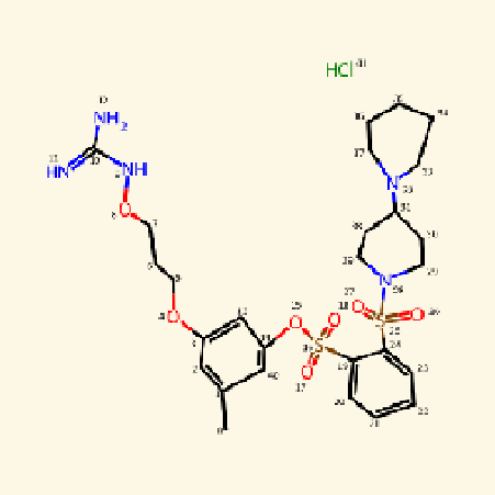 Cc1cc(OCCCONC(=N)N)cc(OS(=O)(=O)c2ccccc2S(=O)(=O)N2CCC(N3CCCCC3)CC2)c1.Cl